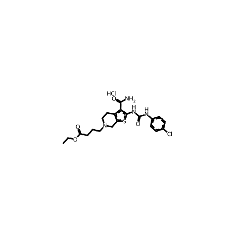 CCOC(=O)CCCN1CCc2c(sc(NC(=O)Nc3ccc(Cl)cc3)c2C(N)=O)C1.Cl